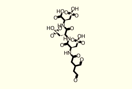 O=CCC(C=O)CC(=O)N[C@H](CS(=O)(=O)O)C(=O)N[C@H](CS(=O)(=O)O)C(=O)N[C@H](CS(=O)(=O)O)C(=O)O